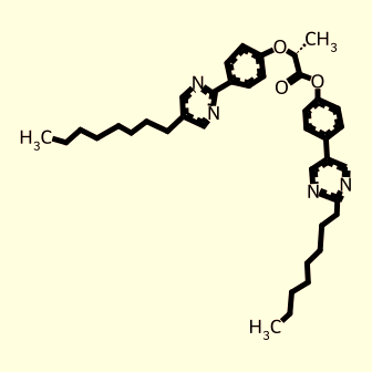 CCCCCCCCc1cnc(-c2ccc(O[C@H](C)C(=O)Oc3ccc(-c4cnc(CCCCCCCC)nc4)cc3)cc2)nc1